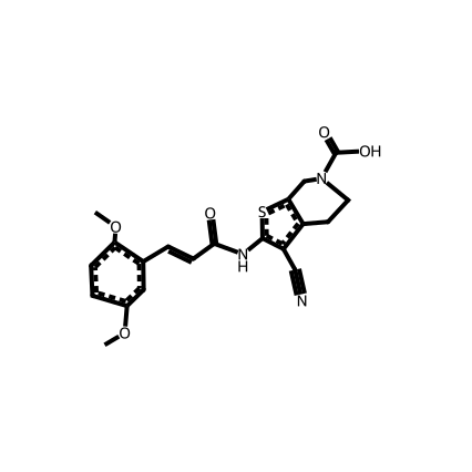 COc1ccc(OC)c(C=CC(=O)Nc2sc3c(c2C#N)CCN(C(=O)O)C3)c1